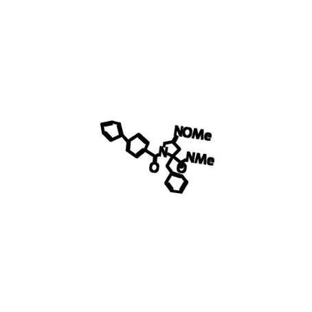 CNC(=O)C1(Cc2ccccc2)CC(=NOC)CN1C(=O)c1ccc(-c2ccccc2)cc1